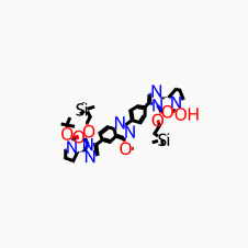 COc1nc(-c2ccc(-c3cnc([C@@H]4CCCN4C(=O)O)n3COCC[Si](C)(C)C)cc2)nc2ccc(-c3cnc([C@@H]4CCCN4C(=O)OC(C)(C)C)n3COCC[Si](C)(C)C)cc12